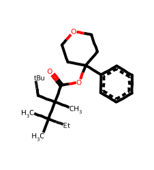 CCC(C)(C)C(C)(CC(C)(C)C)C(=O)OC1(c2ccccc2)CCOCC1